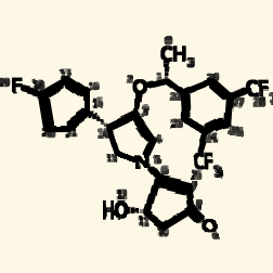 C[C@@H](O[C@H]1CN(C2=CC(=O)C[C@@H]2O)C[C@@H]1c1ccc(F)cc1)c1cc(C(F)(F)F)cc(C(F)(F)F)c1